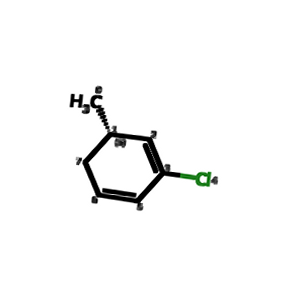 C[C@@H]1C=C(Cl)C=CC1